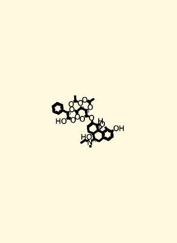 CCN(C)[C@@H]1Cc2ccc(O)c3c2[C@@]2(C)[C@@H](O3)C(OC(=O)[C@H](OC(C)=O)[C@@H](OC(C)=O)C(=O)O[C@@H](C(=O)O)c3ccccc3)=CC[C@@]12O